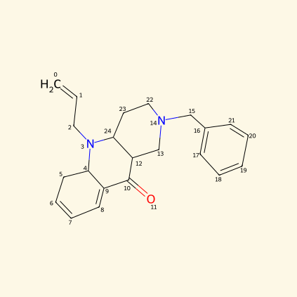 C=CCN1C2CC=CC=C2C(=O)C2CN(Cc3ccccc3)CCC21